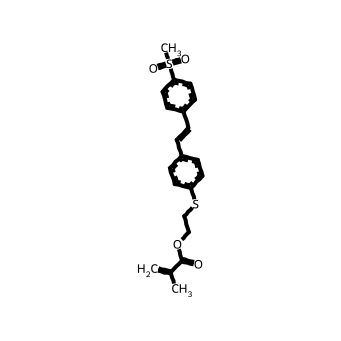 C=C(C)C(=O)OCCSc1ccc(C=Cc2ccc(S(C)(=O)=O)cc2)cc1